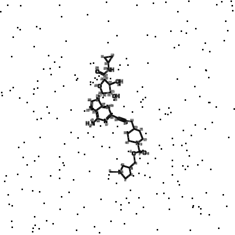 CN1CCC(COC(=O)N2CCC(CC#Cc3nc(N)c4ncn([C@@H]5O[C@H](C(=O)NC6CC6)C(O)[C@@H]5O)c4n3)CC2)C1